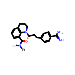 CCN(CC)C(=O)c1cccc2c1N(C(=O)CCc1ccc(C(=N)N)cc1)CCC2